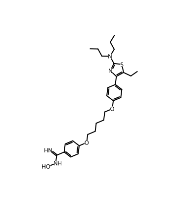 CCCN(CCC)c1nc(-c2ccc(OCCCCCOc3ccc(C(=N)NO)cc3)cc2)c(CC)s1